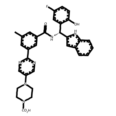 Cc1cc(C(=O)N[C@@H](c2cc3ccccc3[nH]2)c2cc(F)ccc2O)cc(-c2ncc(N3CCN(C(=O)O)CC3)cn2)c1